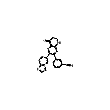 N#Cc1cccc(-c2nc3[nH]ccc(=O)c3nc2-c2ccc3nccn3c2)c1